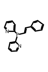 C(=CP(c1ccccn1)c1ccccn1)c1ccccc1